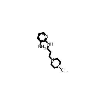 CN1CCN(CCCNc2ncccc2N)CC1